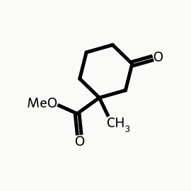 COC(=O)C1(C)CCCC(=O)C1